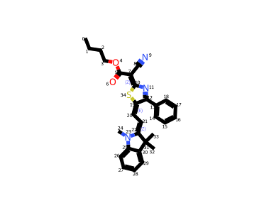 CCCCOC(=O)/C(C#N)=c1/nc(-c2ccccc2)/c(=C\C=C2/N(C)c3ccccc3C2(C)C)s1